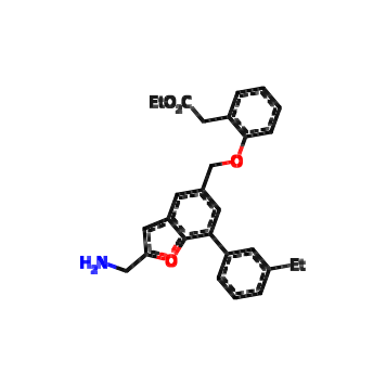 CCOC(=O)Cc1ccccc1OCc1cc(-c2cccc(CC)c2)c2oc(CN)cc2c1